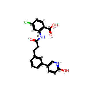 O=C(CCc1cccc(-c2ccc(O)nc2)c1)Nc1cc(Cl)ccc1C(=O)O